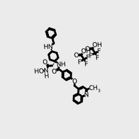 Cc1cc(COc2ccc(C(=O)N[C@]3(CC(=O)NO)CC[C@H](NCc4ccccc4)CC3)cc2)c2ccccc2n1.O=C(O)C(F)(F)F.O=C(O)C(F)(F)F